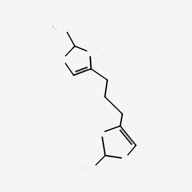 CSC1SC=C(CCCC2=CSC(SC)S2)S1